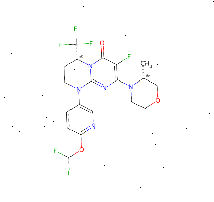 C[C@@H]1COCCN1c1nc2n(c(=O)c1F)[C@@H](C(F)(F)F)CCN2c1ccc(OC(F)F)nc1